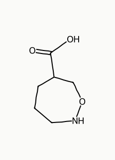 O=C(O)C1CCCNOC1